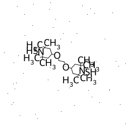 CC1(C)CC(OCCOC2CC(C)(C)N(S)C(C)(C)C2)CC(C)(C)N1S